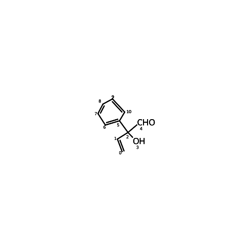 C=CC(O)(C=O)c1ccccc1